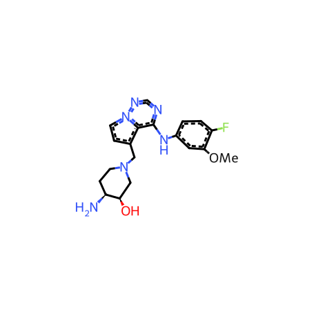 COc1cc(Nc2ncnn3ccc(CN4CC[C@H](N)[C@H](O)C4)c23)ccc1F